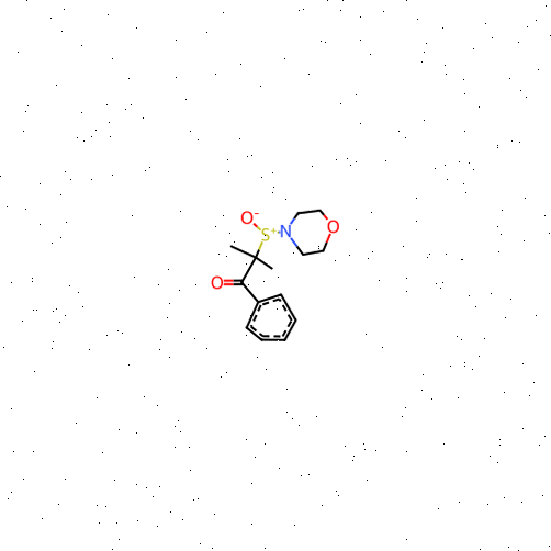 CC(C)(C(=O)c1ccccc1)[S+]([O-])N1CCOCC1